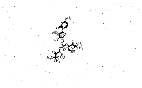 CC(C)(C)C(=O)[C@@H](CS)OP(=O)(OC[C@H]1O[C@@H](n2ccc(N)nc2=O)[C@@H](O)[C@@H]1O)O[C@H](CS)C(=O)C(C)(C)C